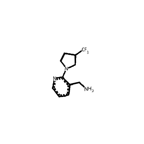 NCc1cccnc1N1CCC(C(F)(F)F)C1